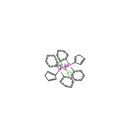 [Cl][Pd]([Cl])([PH](C1=CCC=C1)(c1ccccc1)c1ccccc1)[PH](C1=CCC=C1)(c1ccccc1)c1ccccc1